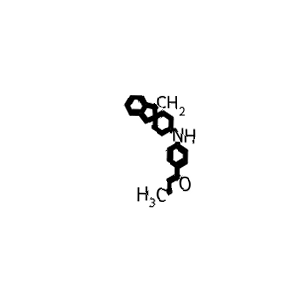 C=C1c2ccccc2CC12CCC(Nc1ccc(C(=O)CCC)cc1)CC2